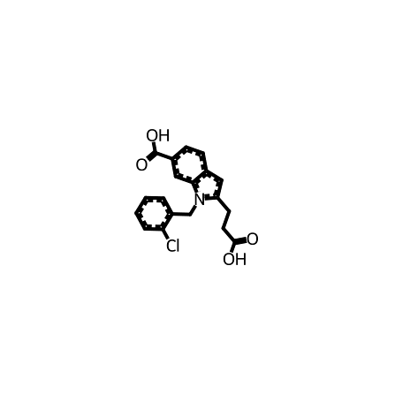 O=C(O)CCc1cc2ccc(C(=O)O)cc2n1Cc1ccccc1Cl